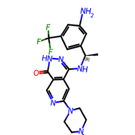 C[C@@H](Nc1n[nH]c(=O)c2cnc(N3CCN(C)CC3)cc12)c1cc(N)cc(C(F)(F)F)c1